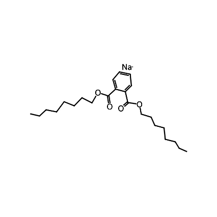 CCCCCCCCOC(=O)c1ccccc1C(=O)OCCCCCCCC.[Na]